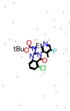 CCN(C(=O)OC(C)(C)C)c1nc2cccc(Cl)c2c(=O)n1-c1cncc(F)c1C